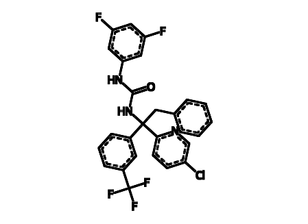 O=C(Nc1cc(F)cc(F)c1)NC(Cc1ccccc1)(c1cccc(C(F)(F)F)c1)c1ccc(Cl)cn1